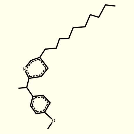 CCCCCCCCCCc1ccc(C(C)c2ccc(OC)cc2)nc1